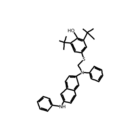 CC(C)(C)c1cc(SCN(c2ccccc2)c2ccc3cc(Nc4ccccc4)ccc3c2)cc(C(C)(C)C)c1O